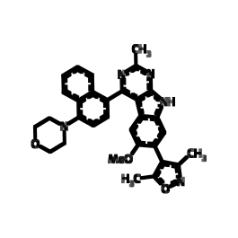 COc1cc2c(cc1-c1c(C)noc1C)[nH]c1nc(C)nc(-c3ccc(N4CCOCC4)c4ccccc34)c12